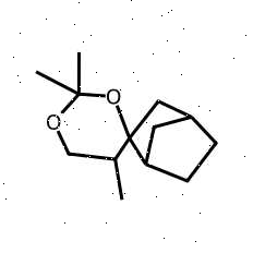 CC1COC(C)(C)OC12CC1CCC2C1